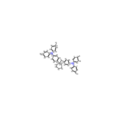 Cc1ccc(N(c2ccc(C)cc2)c2ccc(CC3(c4ccc(N(c5ccc(C)cc5)c5ccc(C)cc5)cc4)CCCCC3)cc2)cc1